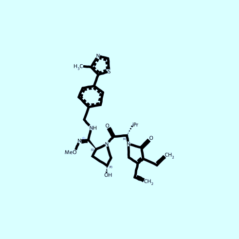 C=CC1=C(C=C)C(=O)N([C@H](C(=O)N2C[C@H](O)C[C@H]2/C(=N\OC)NCc2ccc(-c3scnc3C)cc2)C(C)C)C1